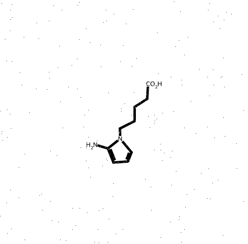 Nc1cccn1CCCCC(=O)O